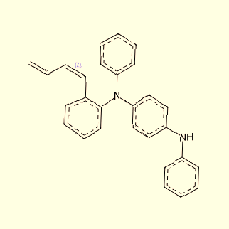 C=C/C=C\c1ccccc1N(c1ccccc1)c1ccc(Nc2ccccc2)cc1